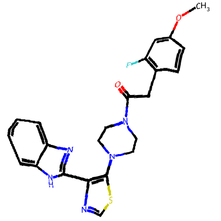 COc1ccc(CC(=O)N2CCN(c3scnc3-c3nc4ccccc4[nH]3)CC2)c(F)c1